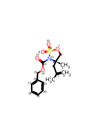 C=C(C)C[C@@]1(C)COS(=O)(=O)N1C(=O)OCc1ccccc1